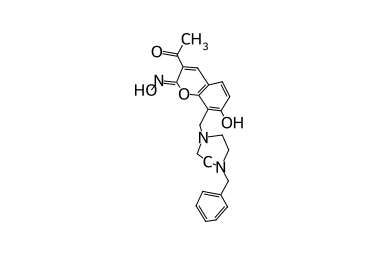 CC(=O)c1cc2ccc(O)c(CN3CCN(Cc4ccccc4)CC3)c2oc1=NO